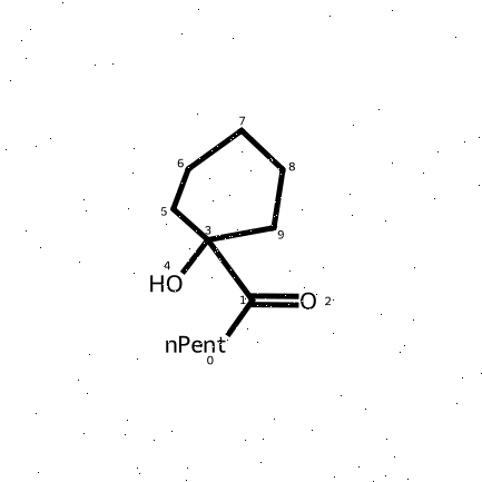 CCCCCC(=O)C1(O)CCCCC1